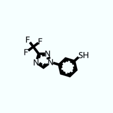 FC(F)(F)c1ncn(-c2cccc(S)c2)n1